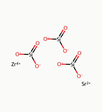 O=[Si]([O-])[O-].O=[Si]([O-])[O-].O=[Si]([O-])[O-].[Sr+2].[Zr+4]